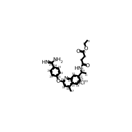 CCOC(=O)CCC(=O)NC(C)c1ccc2c(C)cc(Oc3ccc(C(=N)N)cc3)nc2c1.Cl